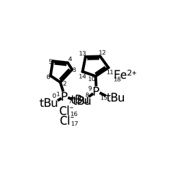 CC(C)(C)P(C1=CC=CC1)C(C)(C)C.CC(C)(C)P(C1=CC=CC1)C(C)(C)C.[Cl-].[Cl-].[Fe+2]